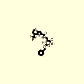 O=C(NC(CNC(=O)c1cc2nccc(C(F)(F)F)c2s1)C(=O)O)OCc1ccccc1